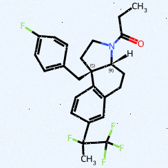 CCC(=O)N1CC[C@@]2(Cc3ccc(F)cc3)c3ccc(C(C)(F)C(F)(F)F)cc3CC[C@@H]12